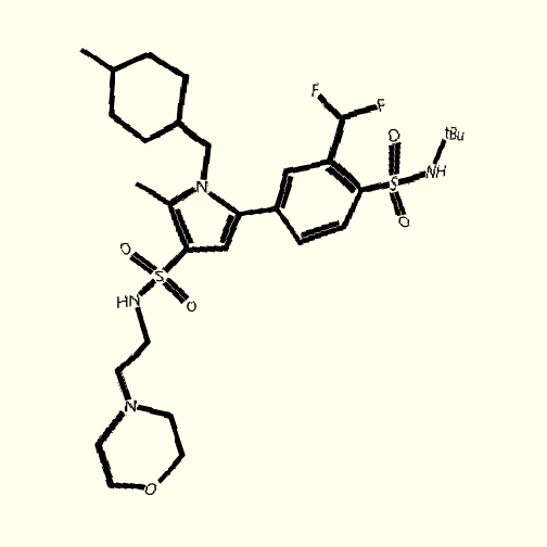 Cc1c(S(=O)(=O)NCCN2CCOCC2)cc(-c2ccc(S(=O)(=O)NC(C)(C)C)c(C(F)F)c2)n1CC1CCC(C)CC1